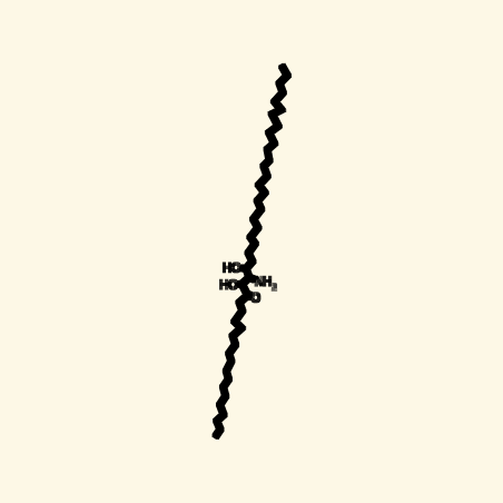 CCCCCCCCCCCCCCCCCCCCCCCCC(O)C(N)C(O)C(=O)CCCCCCCCCCCCCCCCC